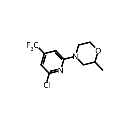 CC1CN(c2cc(C(F)(F)F)cc(Cl)n2)CCO1